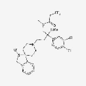 CNC(CCN1CCC2(CC1)c1ccccc1C[S+]2[O-])(CN(C)C(=O)CC(F)(F)F)c1ccc(Cl)c(Cl)c1